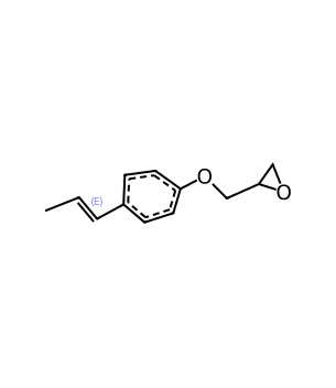 C/C=C/c1ccc(OCC2CO2)cc1